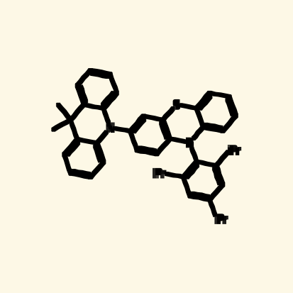 CC(C)c1cc(C(C)C)c(B2c3ccccc3Sc3cc(N4c5ccccc5C(C)(C)c5ccccc54)ccc32)c(C(C)C)c1